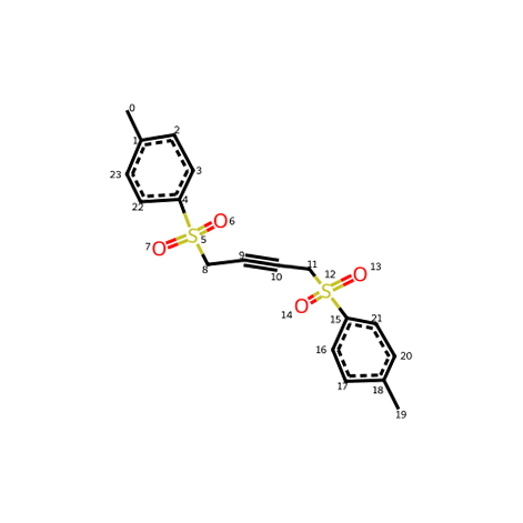 Cc1ccc(S(=O)(=O)CC#CCS(=O)(=O)c2ccc(C)cc2)cc1